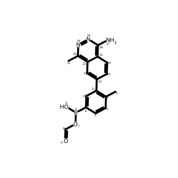 Cc1ccc(B(O)OC=O)cc1-c1ccc2c(N)nnc(C)c2c1